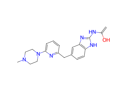 C=C(O)Nc1nc2cc(Cc3cccc(N4CCN(C)CC4)n3)ccc2[nH]1